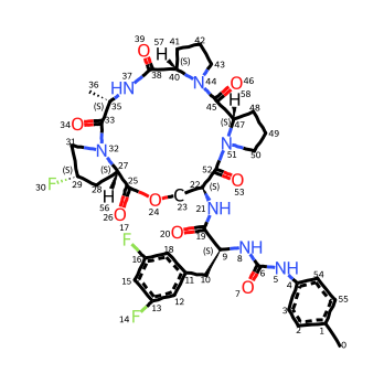 Cc1ccc(NC(=O)N[C@@H](Cc2cc(F)cc(F)c2)C(=O)N[C@H]2COC(=O)[C@@H]3C[C@H](F)CN3C(=O)[C@H](C)NC(=O)[C@@H]3CCCN3C(=O)[C@@H]3CCCN3C2=O)cc1